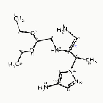 CCOC(CN/C(=C\N)C(C)n1cc(N)cn1)OCC